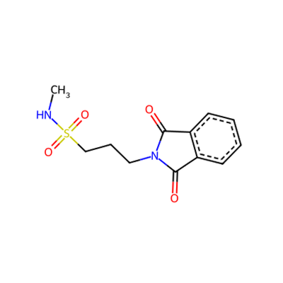 CNS(=O)(=O)CCCN1C(=O)c2ccccc2C1=O